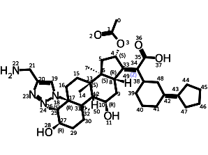 CC(=O)O[C@H]1C[C@@]2(C)[C@@H](C[C@@H](O)[C@@H]3[C@]2(C)CC[C@@]2(n4cc(CN)nn4)[C@H](C)[C@H](O)CC[C@]32C)/C1=C(/C(=O)O)C1CCCC(=C2CCCC2)C1